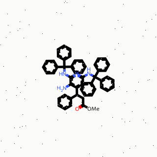 COC(=O)CC(c1ccccc1)c1cc(NC(c2ccccc2)(c2ccccc2)c2ccccc2)nc(NC(c2ccccc2)(c2ccccc2)c2ccccc2)c1N